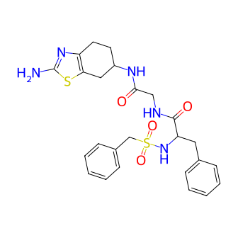 Nc1nc2c(s1)CC(NC(=O)CNC(=O)C(Cc1ccccc1)NS(=O)(=O)Cc1ccccc1)CC2